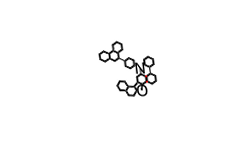 c1ccc(-c2ccccc2N(c2ccc(-c3cc4ccccc4c4ccccc34)cc2)c2ccc3oc4ccc5ccccc5c4c3c2)cc1